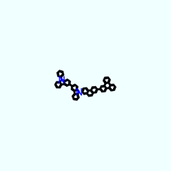 c1ccc(-n2c3ccccc3c3cc(-c4ccc5c(c4)c4ccccc4n5-c4ccc5c(ccc6cc(-c7ccc8c9ccccc9c9ccccc9c8c7)ccc65)c4)ccc32)cc1